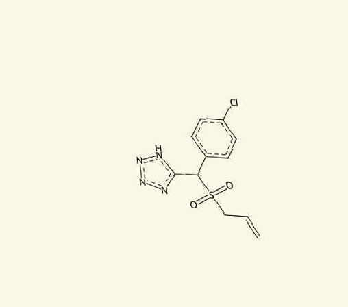 C=CCS(=O)(=O)C(c1ccc(Cl)cc1)c1nnn[nH]1